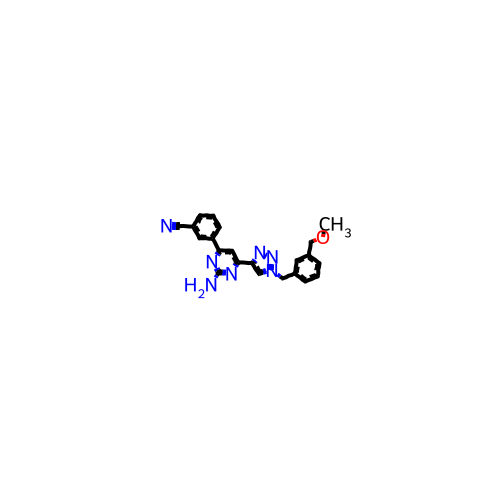 COCc1cccc(Cn2cc(-c3cc(-c4cccc(C#N)c4)nc(N)n3)nn2)c1